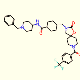 O=C(c1ccc(C(F)(F)F)cc1)N1CCC2(CC1)CN(C[C@H]1CC[C@H](C(=O)NC3CCN(Cc4ccccc4)CC3)CC1)C(=O)O2